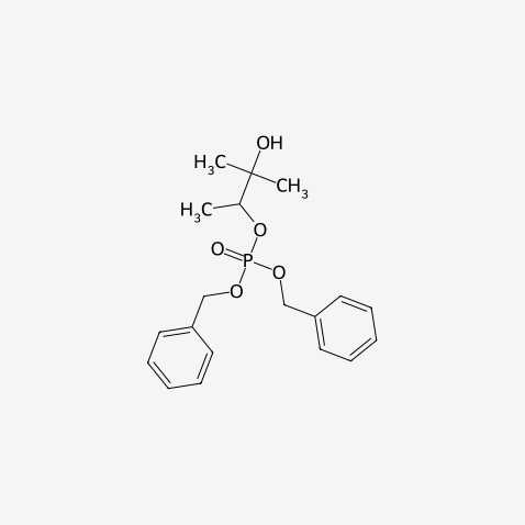 CC(OP(=O)(OCc1ccccc1)OCc1ccccc1)C(C)(C)O